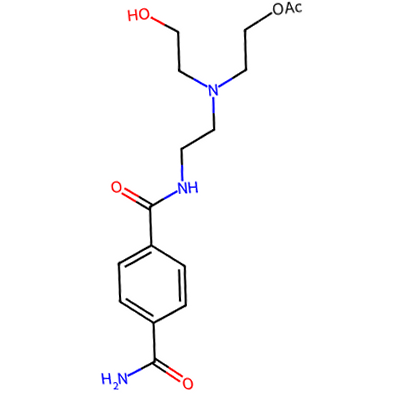 CC(=O)OCCN(CCO)CCNC(=O)c1ccc(C(N)=O)cc1